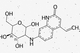 C=Cc1cc(=O)[nH]c2cc(NC3C(O)OC(CO)[C@H](O)[C@H]3O)ccc12